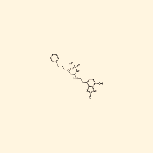 CCCS(=O)(=O)NC(COCCSc1ccccc1)NCCc1ccc(O)c2[nH]c(=O)sc12